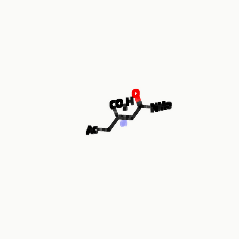 CNC(=O)/C=C(/CC(C)=O)C(=O)O